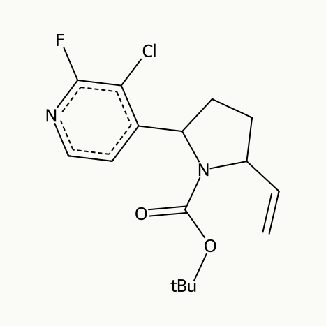 C=CC1CCC(c2ccnc(F)c2Cl)N1C(=O)OC(C)(C)C